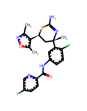 Cc1noc(C)c1[C@@H]1C[C@@](C)(c2cc(NC(=O)c3ccc(F)cn3)ccc2F)N=C(N)S1